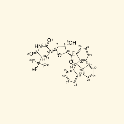 O=c1[nH]c(=O)n([C@H]2C[C@H](O)[C@@H](COC(c3ccccc3)(c3ccccc3)c3ccccc3)O2)cc1C(F)(F)F